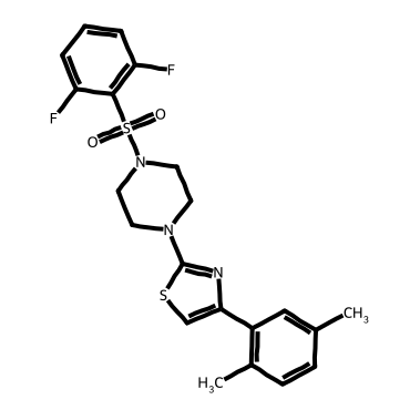 Cc1ccc(C)c(-c2csc(N3CCN(S(=O)(=O)c4c(F)cccc4F)CC3)n2)c1